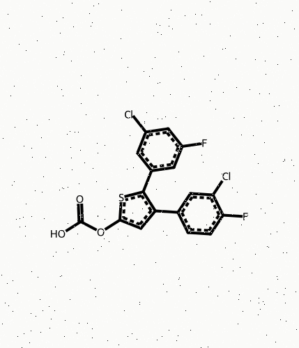 O=C(O)Oc1cc(-c2ccc(F)c(Cl)c2)c(-c2cc(F)cc(Cl)c2)s1